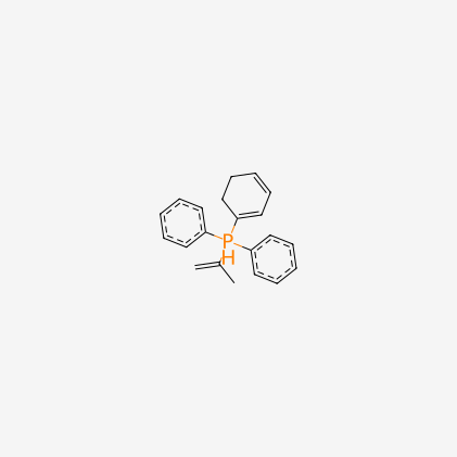 C=C(C)[PH](C1=CC=CCC1)(c1ccccc1)c1ccccc1